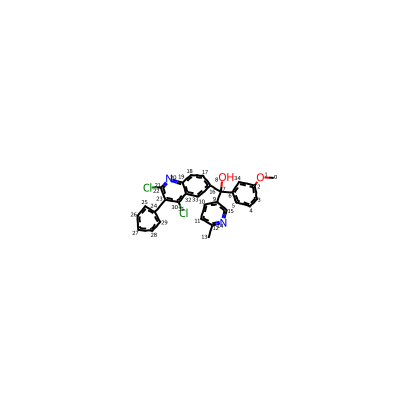 COc1cccc(C(O)(c2ccc(C)nc2)c2ccc3nc(Cl)c(-c4ccccc4)c(Cl)c3c2)c1